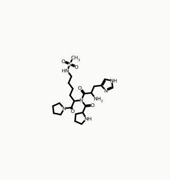 CS(=O)(=O)NCCCCC(C(=O)N1CCCC1)N(C(=O)C(N)Cc1c[nH]cn1)C(=O)C1CCCN1